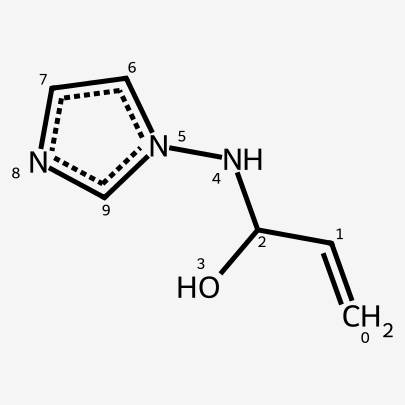 C=CC(O)Nn1ccnc1